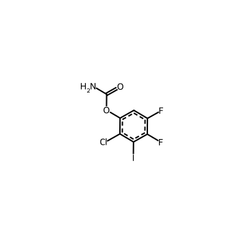 NC(=O)Oc1cc(F)c(F)c(I)c1Cl